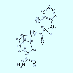 CC(C)(Oc1ccccc1C#N)C(=O)NC1C2CC3CC1CC(C(N)=O)(C3)C2